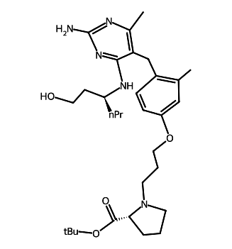 CCC[C@@H](CCO)Nc1nc(N)nc(C)c1Cc1ccc(OCCCN2CCC[C@@H]2C(=O)OC(C)(C)C)cc1C